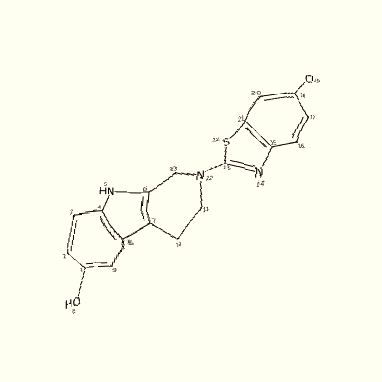 Oc1ccc2[nH]c3c(c2c1)CCN(c1nc2ccc(Cl)cc2s1)C3